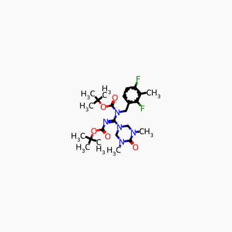 Cc1c(F)ccc(CN(C(=O)OC(C)(C)C)/C(=N/C(=O)OC(C)(C)C)N2CN(C)C(=O)N(C)C2)c1F